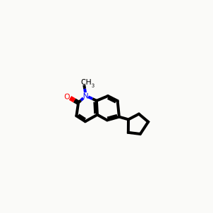 Cn1c(=O)ccc2cc(C3CCCC3)ccc21